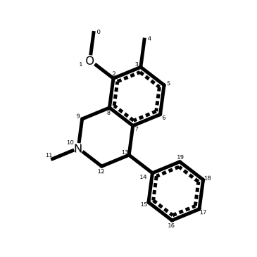 COc1c(C)ccc2c1CN(C)CC2c1ccccc1